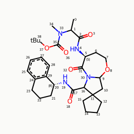 CC(C(=O)N[C@H]1CCOC2CC3(CCCC3)C(C(=O)N[C@@H]3CCCc4ccccc43)N2C1=O)N(C)C(=O)OC(C)(C)C